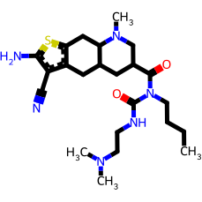 CCCCN(C(=O)NCCN(C)C)C(=O)C1CC2Cc3c(sc(N)c3C#N)CC2N(C)C1